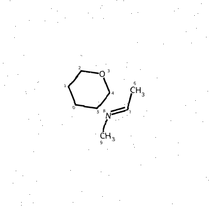 C1CCOCC1.CC=NC